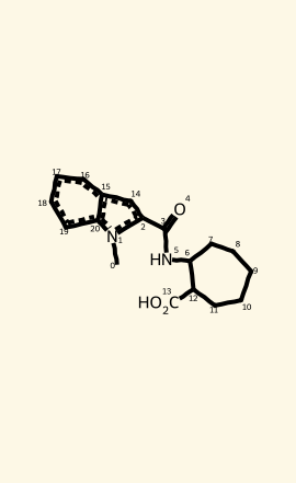 Cn1c(C(=O)NC2CCCCCC2C(=O)O)cc2ccccc21